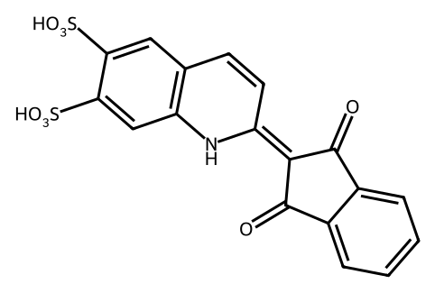 O=C1C(=C2C=Cc3cc(S(=O)(=O)O)c(S(=O)(=O)O)cc3N2)C(=O)c2ccccc21